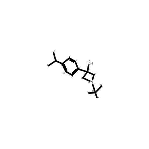 CC(C)c1ccc(C2(O)CN(C(C)(C)C)C2)cc1